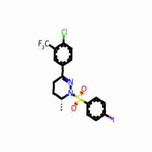 C[C@@H]1CCC(c2ccc(Cl)c(C(F)(F)F)c2)=NN1S(=O)(=O)c1ccc(I)cc1